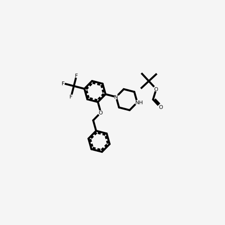 CC(C)(C)OC=O.FC(F)(F)c1ccc(N2CCNCC2)c(OCc2ccccc2)c1